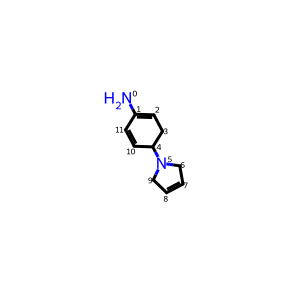 NC1=CCC(N2CC=CC2)C=C1